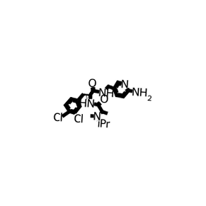 CC(C)N(C)C(C)C(=O)N[C@@H](Cc1ccc(Cl)c(Cl)c1)C(=O)NCc1ccc(N)nc1